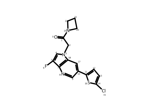 O=C(Cn1cc(F)c2ncc(-c3ccc(Cl)s3)cc21)N1CCC1